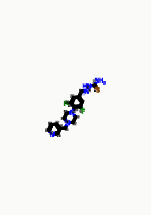 NC(=S)N/N=C/c1cc(F)c(N2CCN(Cc3cccnc3)CC2)c(F)c1